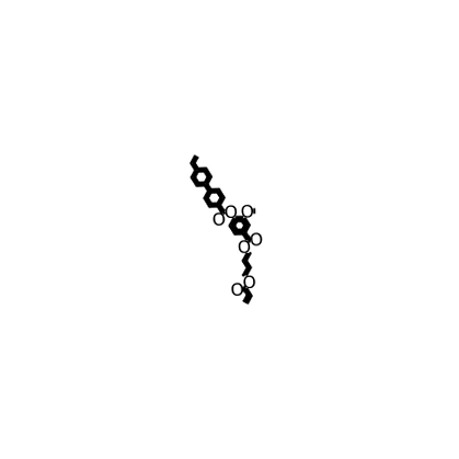 C=CC(=O)OCCCCOC(=O)c1ccc(OC(=O)C2CCC(C3CCC(CC)CC3)CC2)c(OC)c1